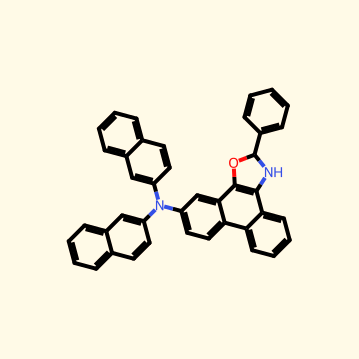 c1ccc(C2Nc3c(c4cc(N(c5ccc6ccccc6c5)c5ccc6ccccc6c5)ccc4c4ccccc34)O2)cc1